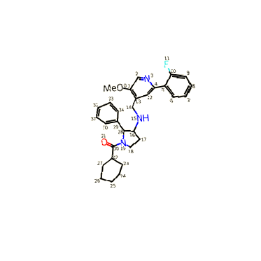 COc1cnc(-c2ccccc2F)cc1CNC1CCN(C(=O)C2CCCCC2)C1c1ccccc1